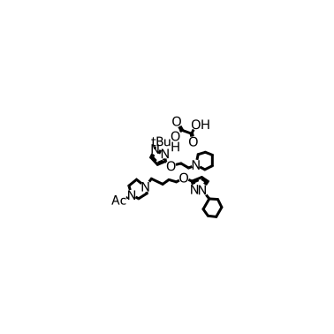 CC(=O)N1CCN(CCCCOc2ccn(C3CCCCC3)n2)CC1.CC(C)(C)n1ccc(OCCN2CCCCC2)n1.O=C(O)C(=O)O